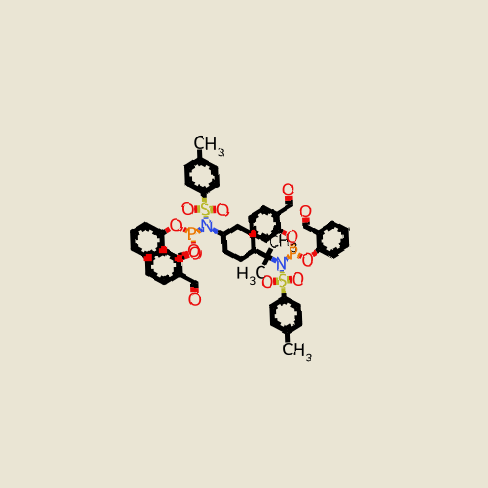 Cc1ccc(S(=O)(=O)N(C2CCC(C(C)(C)N(P(Oc3ccccc3C=O)Oc3ccccc3C=O)S(=O)(=O)c3ccc(C)cc3)CC2)P(Oc2ccccc2C=O)Oc2ccccc2C=O)cc1